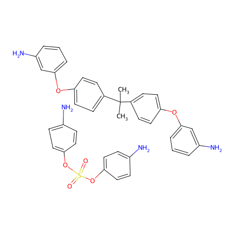 CC(C)(c1ccc(Oc2cccc(N)c2)cc1)c1ccc(Oc2cccc(N)c2)cc1.Nc1ccc(OS(=O)(=O)Oc2ccc(N)cc2)cc1